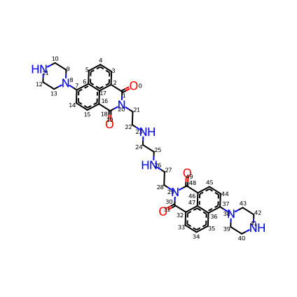 O=C1c2cccc3c(N4CCNCC4)ccc(c23)C(=O)N1CCNCCNCCN1C(=O)c2cccc3c(N4CCNCC4)ccc(c23)C1=O